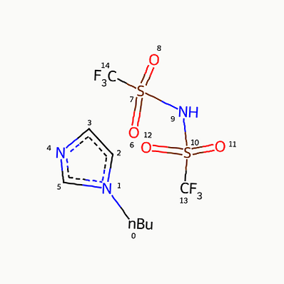 CCCCn1ccnc1.O=S(=O)(NS(=O)(=O)C(F)(F)F)C(F)(F)F